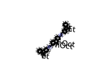 CCCCCCCCC1(CCCCCCCC)c2cc(/C=C/c3ccc4c(c3)c3ccccc3n4CC)ccc2-c2ccc(/C=C/c3ccc4c(c3)c3ccccc3n4CC)cc21